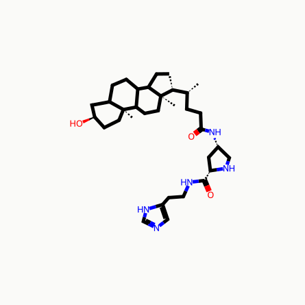 C[C@H](CCC(=O)N[C@@H]1CN[C@H](C(=O)NCCc2cnc[nH]2)C1)[C@H]1CCC2C3CCC4C[C@H](O)CC[C@]4(C)C3CC[C@@]21C